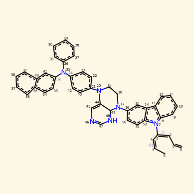 C=C/C=C(\C=C/C)n1c2ccccc2c2cc(N3CCN(c4ccc(N(c5ccccc5)c5ccc6ccccc6c5)cc4)C4=CN=CNC43)ccc21